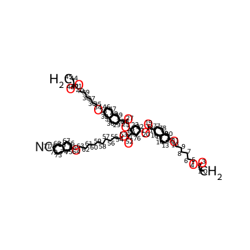 C=CC(=O)OCCCCCCOc1ccc2cc(C(=O)Oc3ccc(OC(=O)c4ccc5cc(OCCCCCCOC(=O)C=C)ccc5c4)c(C(=O)OCCCCCCCCCCOc4ccc5cc(C#N)ccc5c4)c3)ccc2c1